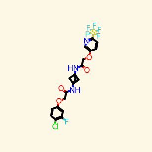 O=C(COc1ccc(S(F)(F)(F)(F)F)nc1)NC12CC(NC(=O)COc3ccc(Cl)c(F)c3)(C1)C2